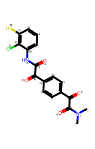 CN(C)C(=O)C(=O)c1ccc(C(=O)C(=O)Nc2cccc(S)c2Cl)cc1